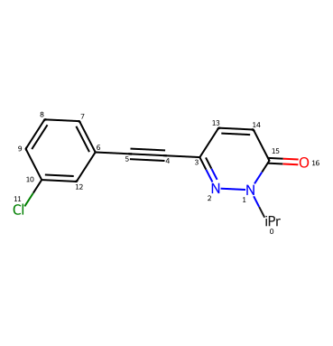 CC(C)n1nc(C#Cc2cccc(Cl)c2)ccc1=O